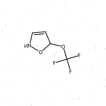 FC(F)(F)OC1[C]=CNO1